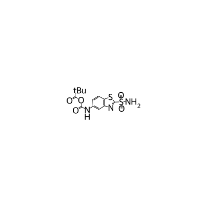 CC(C)(C)C(=O)OC(=O)Nc1ccc2sc(S(N)(=O)=O)nc2c1